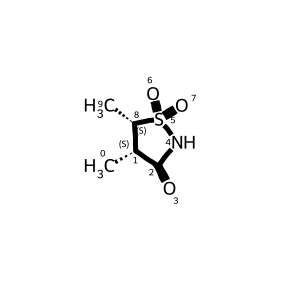 C[C@H]1C(=O)NS(=O)(=O)[C@H]1C